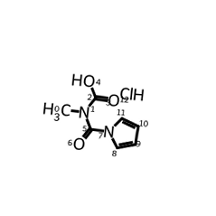 CN(C(=O)O)C(=O)n1cccc1.Cl